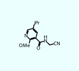 COc1ncc(C(C)C)cc1C(=O)NCC#N